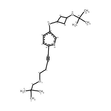 CC(C)(C)COCCC#Cc1ccc(OC2CC(OC(C)(C)C)C2)cn1